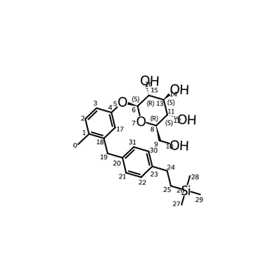 Cc1ccc(O[C@@H]2O[C@H](CO)[C@@H](O)[C@H](O)[C@H]2O)cc1Cc1ccc(CC[Si](C)(C)C)cc1